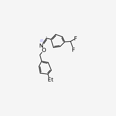 CCc1ccc(CO/N=[C]\c2ccc(C(F)F)cc2)cc1